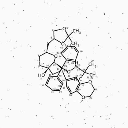 CC1(C)OCC(C[C@@H]2CC[C@@](O)(CNc3ccc4c(c3)OCCO4)[C@H](C(O[SiH2]C(C)(C)C)(c3ccccc3)c3ccccc3)O2)O1